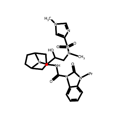 CC(C)n1c(=O)n(C(=O)NC2CC3CCC(C2)N3CC(O)CN(C)S(=O)(=O)c2cn(C)cn2)c2ccccc21